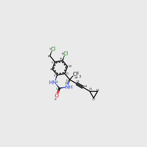 O=C1Nc2cc(CCl)c(Cl)cc2C(C#CC2CC2)(C(F)(F)F)N1